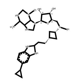 CCN1CNC(N)C2NCN([C@@H]3O[C@H](CN(C(C)C)[C@H]4C[C@@H](CCC5Nc6ccc(C7CC7)cc6N5)C4)[C@@H](O)[C@H]3O)C21